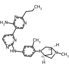 CCCc1ncc(-c2ccnc(Nc3ccc(N4C[C@@H]5C[C@H]4CN5C)c(C)c3)n2)c(N)n1